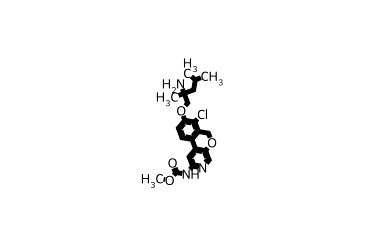 COC(=O)Nc1cc2c(cn1)OCc1c-2ccc(OCC(C)(N)CC(C)C)c1Cl